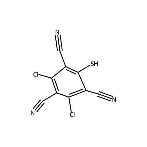 N#Cc1c(S)c(C#N)c(Cl)c(C#N)c1Cl